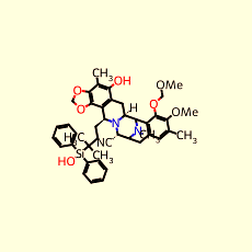 COCOc1c(OC)c(C)cc2c1C1[C@@H]3Cc4c(O)c(C)c5c(c4[C@H](CCC(C)(C)[Si](O)(c4ccccc4)c4ccccc4)N3[C@@H](C#N)C(C2)N1C)OCO5